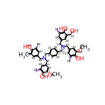 COc1cc(CN(Cc2ccc(CN(Cc3cc(I)c(O)c(CO)c3)Cc3cc(I)c(O)c(OC)c3)cc2)Cc2cc(C)c(O)c(I)c2)cc(I)c1O